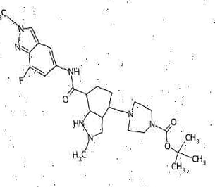 CN1CC2C(N1)C(C(=O)Nc1cc(F)c3nn(C)cc3c1)CCC2N1CCN(C(=O)OC(C)(C)C)CC1